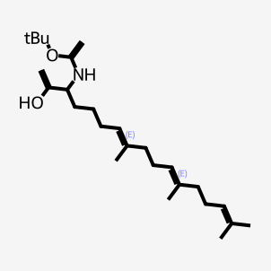 C=C(NC(CCC/C=C(\C)CC/C=C(\C)CCC=C(C)C)C(=C)O)OC(C)(C)C